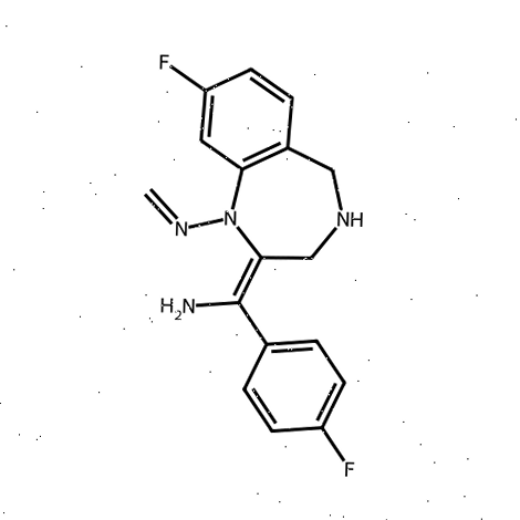 C=NN1/C(=C(\N)c2ccc(F)cc2)CNCc2ccc(F)cc21